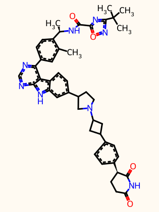 Cc1cc(-c2ncnc3[nH]c4cc(C5CCN(C6CC(c7ccc([C@@H]8CCC(=O)NC8=O)cc7)C6)C5)ccc4c23)ccc1[C@@H](C)NC(=O)c1nc(C(C)(C)C)no1